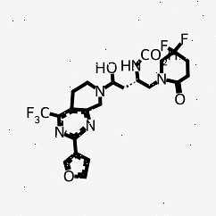 O=C(O)N[C@@H](CC(O)N1CCc2c(nc(-c3ccoc3)nc2C(F)(F)F)C1)CN1CC(F)(F)CCC1=O